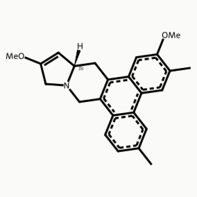 COC1=C[C@@H]2Cc3c(c4ccc(C)cc4c4cc(C)c(OC)cc34)CN2C1